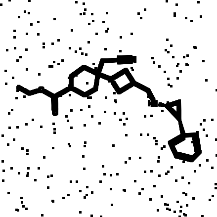 CCOC(=O)N1CCC(CC#N)(N2CC(CN[C@@H]3C[C@H]3c3ccccc3)C2)CC1